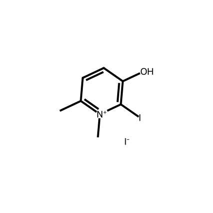 Cc1ccc(O)c(I)[n+]1C.[I-]